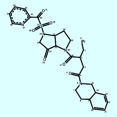 CC(C)CC(CC(=O)N1CCC2C=CC=CC2C1)C(=O)N1CCC2C1C(=O)CN2S(=O)(=O)C(=O)c1ccccn1